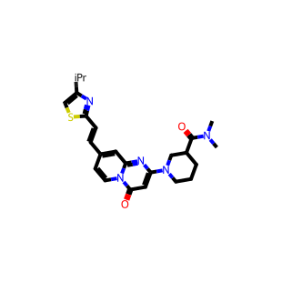 CC(C)c1csc(C=Cc2ccn3c(=O)cc(N4CCCC(C(=O)N(C)C)C4)nc3c2)n1